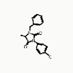 CC1C(=O)N(c2ccc(Cl)cc2)C(=O)N1Cc1ccccc1